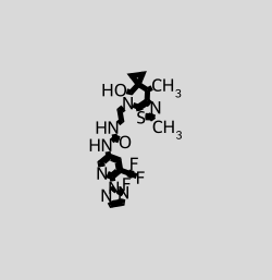 Cc1nc(C(C)C2(CO)CC2)c(/N=C\CNC(=O)Nc2cnc(-n3nccn3)c(C(F)(F)F)c2)s1